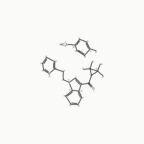 CC1(C)C(C(=O)c2cn(CCc3ccccn3)c3ccccc23)C1(C)C.Cc1ccc(S(=O)(=O)O)cc1